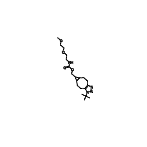 COCCOCCNC(=O)OCC1C2CCc3nnn(C(C)(C)C)c3CCC21